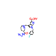 NC(=O)C1CCCN(Cc2cn(Cc3ccc(F)cc3)c3cnc(C(=O)O)cc23)C1